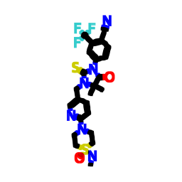 CN=S1(=O)CCN(c2ccc(CN3C(=S)N(c4ccc(C#N)c(C(F)(F)F)c4)C(=O)C3(C)C)cn2)CC1